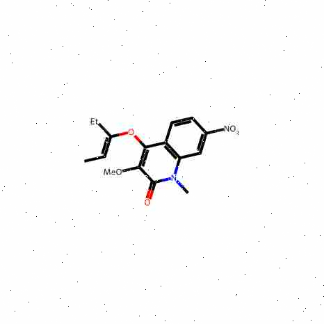 CC=C(CC)Oc1c(OC)c(=O)n(C)c2cc([N+](=O)[O-])ccc12